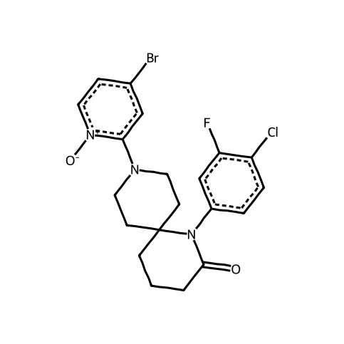 O=C1CCCC2(CCN(c3cc(Br)cc[n+]3[O-])CC2)N1c1ccc(Cl)c(F)c1